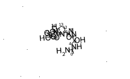 C=C(N)NC[C@@H](O)c1nnc([C@@H]2CC[C@@H]3CN2C(=O)N3OS(=O)(=O)O)o1